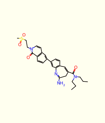 CCCN(CCC)C(=O)C1=Cc2ccc(-c3ccc4c(=O)n(CCS(C)(=O)=O)ccc4c3)cc2N=C(N)C1